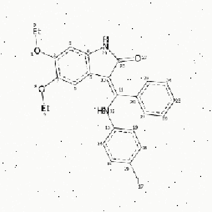 CCOc1cc2c(cc1OCC)C(=C(Nc1ccc(I)cc1)c1ccccc1)C(=O)N2